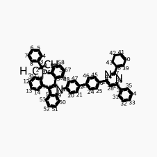 CC(C)(c1ccccc1)P1c2ccccc2-c2c(n(-c3ccc(-c4ccc(-c5cc(-c6ccccc6)nc(C6=CC=CCC6)n5)cc4)cc3)c3ccccc23)-c2ccccc21